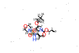 C=CCOC(=O)N1C[C@H](O[Si](C)(C)C(C)(C)C)C[C@H]1C(NS(=O)(=O)N1CCOCC1)=C(C)C